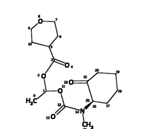 CC(OC(=O)C1CCOCC1)OC(=O)N(C)[C@@H]1CCCCC1=O